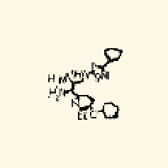 CCc1nc(/C(N)=C(\CNc2nc(C3CCCC3)ns2)N(C)N)ccc1OC1CCCCC1